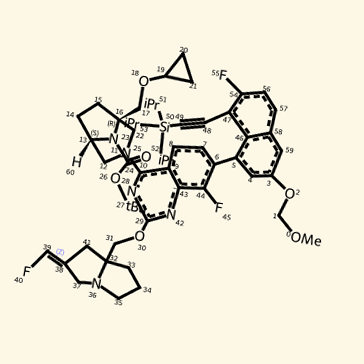 COCOc1cc(-c2ccc3c(N4C[C@@H]5CC[C@](COC6CC6)(C4)N5C(=O)OC(C)(C)C)nc(OCC45CCCN4C/C(=C\F)C5)nc3c2F)c2c(C#C[Si](C(C)C)(C(C)C)C(C)C)c(F)ccc2c1